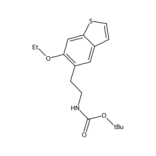 CCOc1cc2sccc2cc1CCNC(=O)OC(C)(C)C